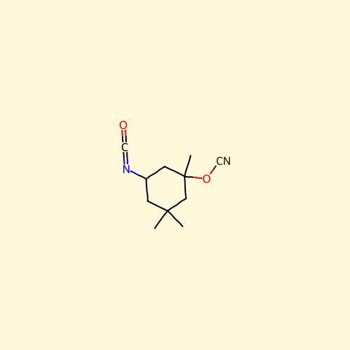 CC1(C)CC(N=C=O)CC(C)(OC#N)C1